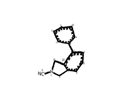 N#CN1Cc2cccc(-c3ccccc3)c2C1